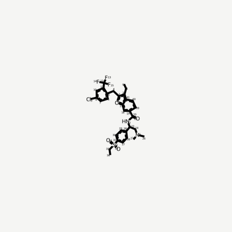 CCc1c(Cc2ccc(Cl)cc2C(F)(F)F)oc2cc(C(=O)NC(CN(C)C)c3ccc(S(=O)(=O)CC)cc3)ccc12